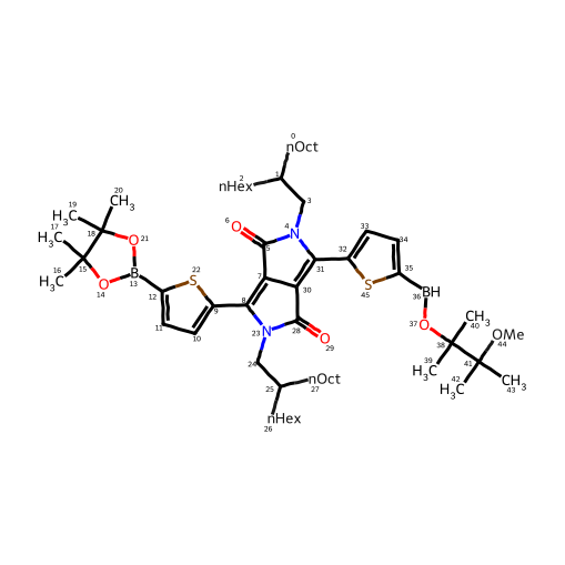 CCCCCCCCC(CCCCCC)CN1C(=O)C2=C(c3ccc(B4OC(C)(C)C(C)(C)O4)s3)N(CC(CCCCCC)CCCCCCCC)C(=O)C2=C1c1ccc(BOC(C)(C)C(C)(C)OC)s1